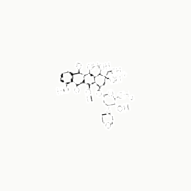 CCC1(O)CC(O[C@H]2C[C@H](N3CCOCC3)[C@H](O)[C@H](C)O2)c2c(O)c3c(c(O)c2C1O)C(=O)c1cccc(O)c1C3=O